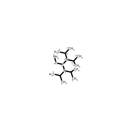 CC(C)N(C(C)C)P(OP)N(C(C)C)C(C)C